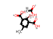 CC(=O)O.Cc1cc(C(=O)O)c(Br)c(C(=O)O)c1